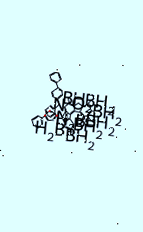 BC1=C(B)C(B)c2c1n(-c1ccccc1)c1c(N(c3ccc(-c4ccccc4)cc3)c3ccc(-c4ccccc4)cc3)c(B)c3oc4c(B)c(B)c(B)c(B)c4c3c21